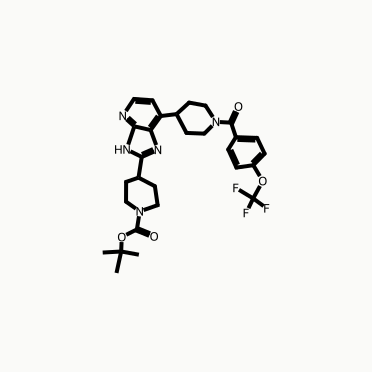 CC(C)(C)OC(=O)N1CCC(c2nc3c(C4CCN(C(=O)c5ccc(OC(F)(F)F)cc5)CC4)ccnc3[nH]2)CC1